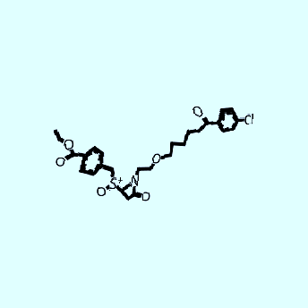 CCOC(=O)c1ccc(C[S+]([O-])C2CC(=O)N2CCOCCCCCC(=O)c2ccc(Cl)cc2)cc1